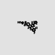 COC(=O)C1=C(C2CCN(S(=O)(=O)[C@H]3C[C@H](O)C3)CC2)NC(c2nccs2)=N[C@@H]1c1ccc(F)cc1Cl